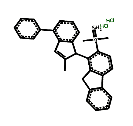 CC1=Cc2c(-c3ccccc3)cccc2C1c1[c]([Zr]([CH3])([CH3])=[SiH2])ccc2c1Cc1ccccc1-2.Cl.Cl